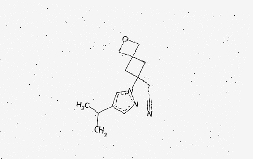 CC(C)c1cnn(C2(CC#N)CC3(COC3)C2)c1